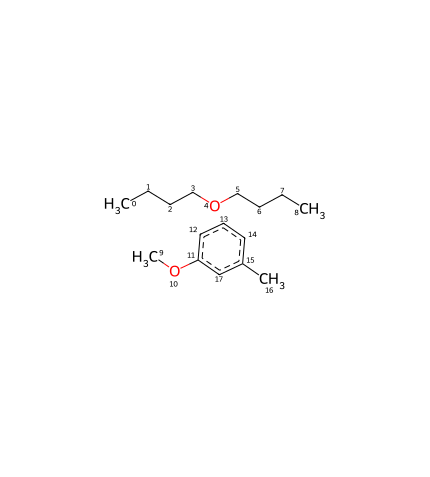 CCCCOCCCC.COc1cccc(C)c1